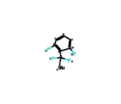 CC(C)(C)C(F)(F)c1c(F)cccc1F